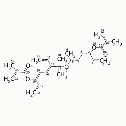 C=C/C(=C\C=C(/C)OC(C)(C)/C(C=C)=C/C=C(\C=C)OC(=O)C(=C)C)OC(=O)C(=C)C